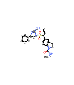 C=CC(c1ccc2c(c1)CCN2C(=O)NCCCC)S(=O)(=O)N1CC(c2ccccc2)N=C1N